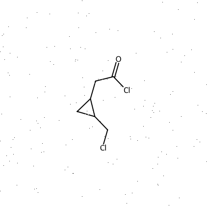 O=C(Cl)CC1CC1CCl